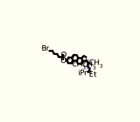 CC[C@H](/C=C/[C@@H](C)[C@H]1CCC2C3CC=C4C[C@@H](OC(=O)CCCCCBr)CC[C@]4(C)C3CC[C@@]21C)C(C)C